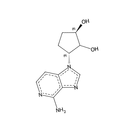 Nc1nccc2c1ncn2[C@@H]1CC[C@@H](O)C1O